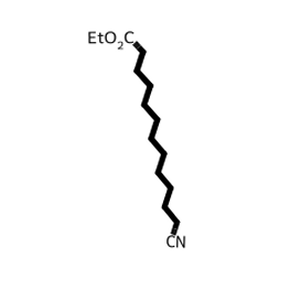 CCOC(=O)CCCCCCCCCCCC#N